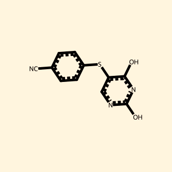 N#Cc1ccc(Sc2cnc(O)nc2O)cc1